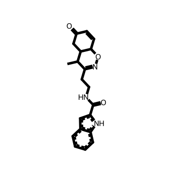 CC1C(CCNC(=O)c2cc3ccccc3[nH]2)=NOC2C=CC(=O)CC21